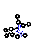 c1ccc(-c2ccc3c(c2)c2cc(-c4ccccc4)ccc2n3-c2cc(-c3cccc([Si](c4ccccc4)(c4ccccc4)c4ccccc4)c3)nc(-n3c4ccccc4n4c5ccccc5nc34)n2)cc1